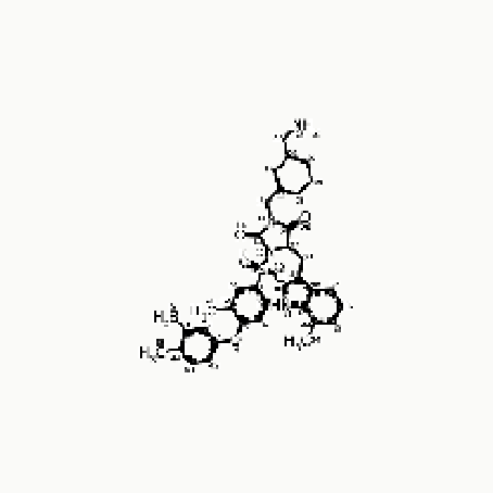 Bc1cc(Oc2ccc(S(=O)(=O)N3C(=O)N(CC4CCCC(CN)C4)C(=O)C3Cc3c[nH]c4c(C)cccc34)cc2C)ccc1C